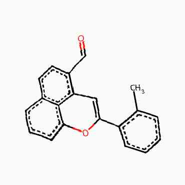 Cc1ccccc1C1=Cc2c(C=O)ccc3cccc(c23)O1